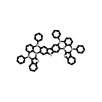 c1ccc(N2c3cc4c(cc3B3c5sc6ccccc6c5N(c5ccccc5)c5cccc2c53)sc2cc3c(cc24)N(c2ccccc2)c2cccc4c2B3c2sc3ccccc3c2N4c2ccccc2)cc1